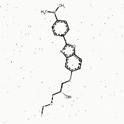 CN(C)c1ccc(-c2nc3cc(OC[C@H](O)COSI)ccc3o2)cc1